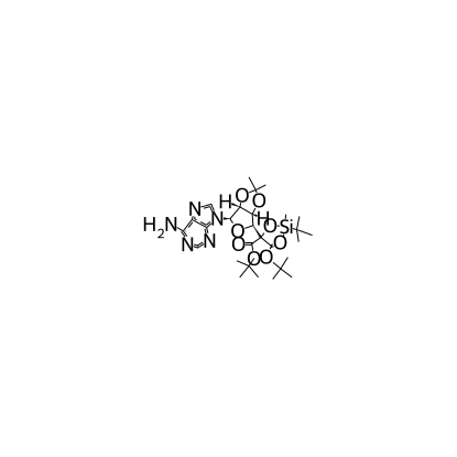 CC(C)(C)OC(=O)C(O[Si](C)(C)C(C)(C)C)(C(=O)OC(C)(C)C)[C@H]1O[C@@H](n2cnc3c(N)ncnc32)[C@@H]2OC(C)(C)O[C@@H]21